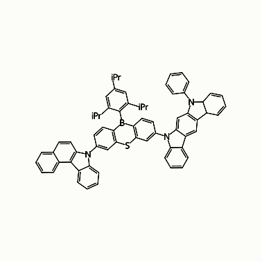 CC(C)c1cc(C(C)C)c(B2c3ccc(-n4c5ccccc5c5cc6c(cc54)N(c4ccccc4)C4C=CC=CC64)cc3Sc3cc(-n4c5ccccc5c5c6ccccc6ccc54)ccc32)c(C(C)C)c1